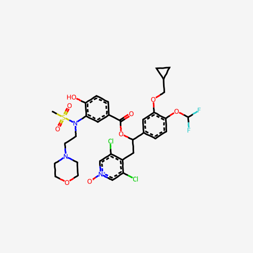 CS(=O)(=O)N(CCN1CCOCC1)c1cc(C(=O)OC(Cc2c(Cl)c[n+]([O-])cc2Cl)c2ccc(OC(F)F)c(OCC3CC3)c2)ccc1O